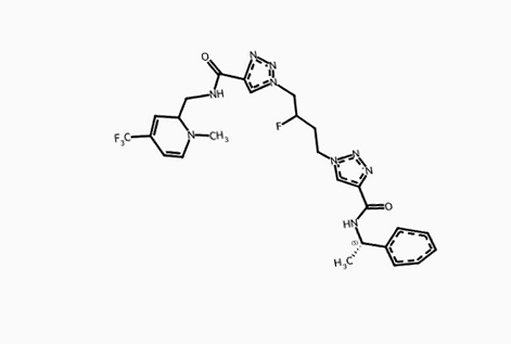 C[C@H](NC(=O)c1cn(CCC(F)Cn2cc(C(=O)NCC3C=C(C(F)(F)F)C=CN3C)nn2)nn1)c1ccccc1